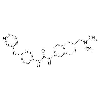 CN(C)CC1CCc2cc(NC(=O)Nc3ccc(Oc4cccnc4)cc3)ccc2C1